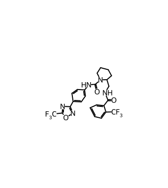 O=C(NCC1CCCCN1C(=O)Nc1ccc(-c2noc(C(F)(F)F)n2)cc1)c1ccccc1C(F)(F)F